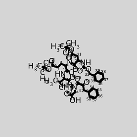 CC(C)C(NC(=O)C(CCC(=O)OC(C)(C)C)NC(=O)C(CC(=O)OC(C)(C)C)NC(=O)OCc1ccccc1)C(=O)NN(CC(=O)O)C(=O)C(=O)Cc1ccccc1